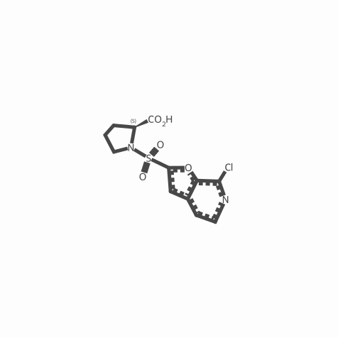 O=C(O)[C@@H]1CCCN1S(=O)(=O)c1cc2ccnc(Cl)c2o1